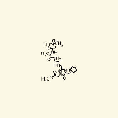 CCOC(=O)CNC(=O)C(Cc1ccccc1)NC(=O)CNC(=O)CNC(=O)[C@H](C)NC(=O)OC(C)(C)C